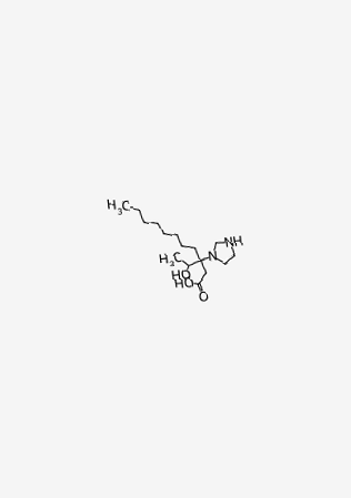 CCCCCCCCC(CC(=O)O)(C(C)O)N1CCNC1